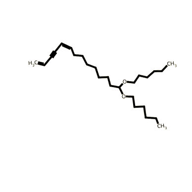 C=CC#C/C=C\CCCCCCCC(OCCCCCC)OCCCCCC